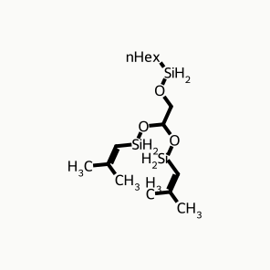 CCCCCC[SiH2]OCC(O[SiH2]C=C(C)C)O[SiH2]C=C(C)C